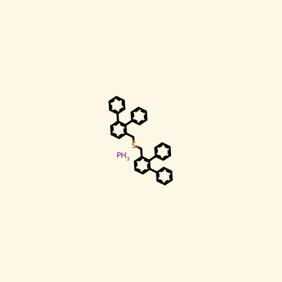 P.c1ccc(-c2cccc(CSCc3cccc(-c4ccccc4)c3-c3ccccc3)c2-c2ccccc2)cc1